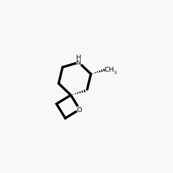 C[C@@H]1C[C@@]2(CCN1)CCO2